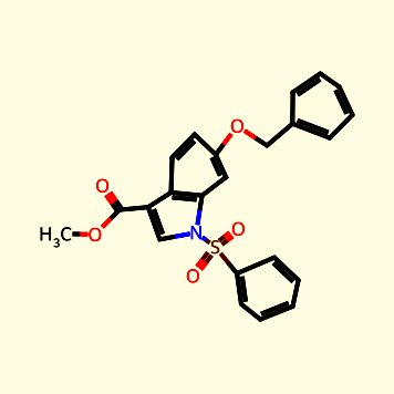 COC(=O)c1cn(S(=O)(=O)c2ccccc2)c2cc(OCc3ccccc3)ccc12